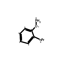 CCCc1ccccc1OP